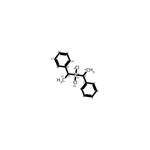 CC(c1ccccc1)[N+](Cl)(Cl)C(C)c1ccccc1